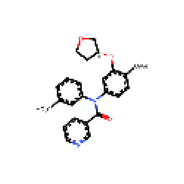 COc1ccc(N(C(=O)c2cccnc2)c2cccc(C(=O)O)c2)cc1O[C@@H]1CCOC1